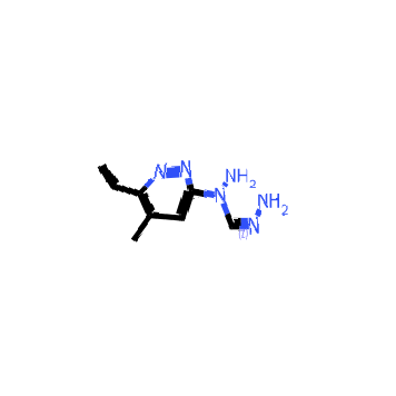 C=Cc1nnc(N(N)/C=N\N)cc1C